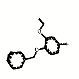 CCOc1cc(F)ccc1OCc1ccccc1